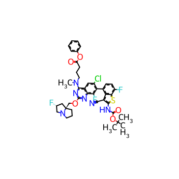 CN(CCCC(=O)Oc1ccccc1)c1nc(OC[C@@]23CCCN2C[C@H](F)C3)nc2c(F)c(-c3ccc(F)c4sc(NC(=O)OC(C)(C)C)c(C#N)c34)c(Cl)cc12